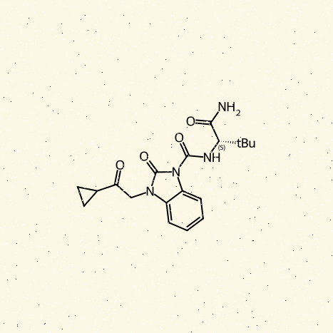 CC(C)(C)[C@H](NC(=O)n1c(=O)n(CC(=O)C2CC2)c2ccccc21)C(N)=O